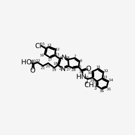 C[C@H](NC(=O)c1ccc2nc(-c3ccc(Cl)cc3)c(CCCCC(=O)O)nc2c1)c1cccc2ccccc12